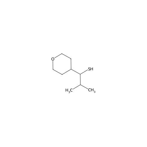 CC(C)C(S)C1CCOCC1